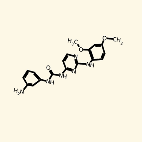 COc1ccc(Nc2nccc(NC(=O)Nc3cccc(N)c3)n2)c(OC)c1